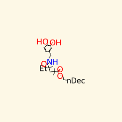 CCCCCCCCCCCCOC(=O)C(C)(C)CC(C)(CC)C(=O)NCCc1ccc(O)c(O)c1